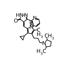 Cc1[nH]c(/C=C2/C(=O)NN=C2c2ncccn2)c(C2CC2)c1CCCN1C(C)CCC1C